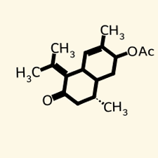 CC(=O)OC1CC2C(C=C1C)C(=C(C)C)C(=O)C[C@H]2C